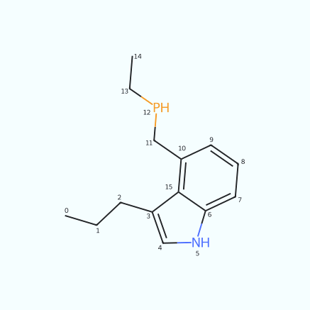 CCCc1c[nH]c2cccc(CPCC)c12